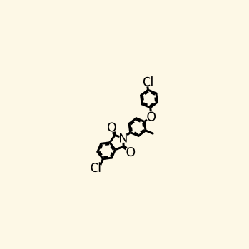 Cc1cc(N2C(=O)c3ccc(Cl)cc3C2=O)ccc1Oc1ccc(Cl)cc1